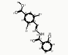 COC(=O)c1cc(F)c(/C=N/NC(=O)c2ccccc2Cl)c(F)c1